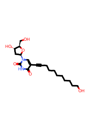 O=c1[nH]c(=O)n([C@H]2C[C@H](O)[C@@H](CO)O2)cc1C#CCCCCCCCCCO